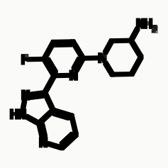 NC1CCCN(c2ccc(F)c(-c3n[nH]c4ncccc34)n2)C1